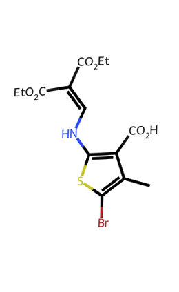 CCOC(=O)C(=CNc1sc(Br)c(C)c1C(=O)O)C(=O)OCC